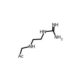 CC(=O)CNCCNC(=N)N